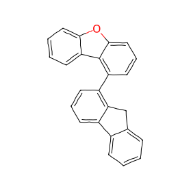 c1ccc2c(c1)Cc1c-2cccc1-c1cccc2oc3ccccc3c12